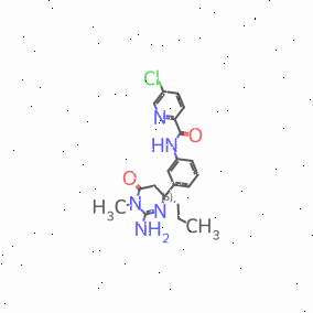 CCC[C@@]1(c2cccc(NC(=O)c3ccc(Cl)cn3)c2)CC(=O)N(C)C(N)=N1